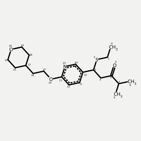 CCSC(CC(=O)C(C)C)c1ccc(OCCC2CCOCC2)nc1